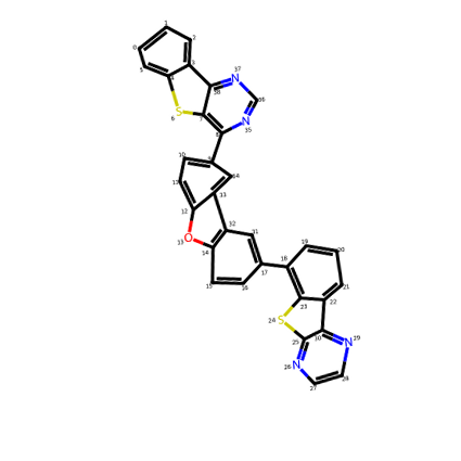 c1ccc2c(c1)sc1c(-c3ccc4oc5ccc(-c6cccc7c6sc6nccnc67)cc5c4c3)ncnc12